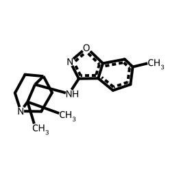 Cc1ccc2c(NC3C4CCN(CC4)C3(C)C)noc2c1